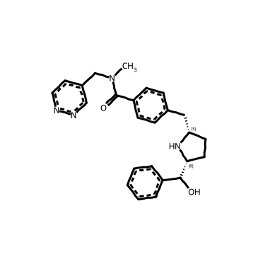 CN(Cc1ccnnc1)C(=O)c1ccc(C[C@@H]2CC[C@H](C(O)c3ccccc3)N2)cc1